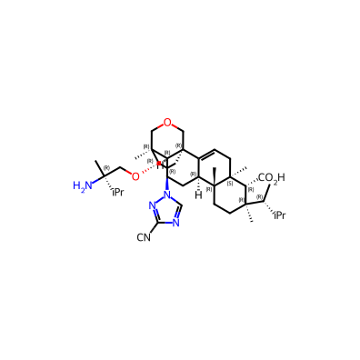 [C-]#[N+]c1ncn([C@@H]2C[C@@]34COC[C@@](C)([C@@H]3CC[C@H]3C4=CC[C@@]4(C)[C@H](C(=O)O)[C@@](C)([C@H](C)C(C)C)CC[C@]34C)[C@H]2OC[C@](C)(N)C(C)C)n1